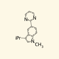 CC(C)c1cn(C)c2ccc(-c3ncccn3)cc12